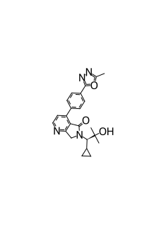 Cc1nnc(-c2ccc(-c3ccnc4c3C(=O)N([C@H](C3CC3)C(C)(C)O)C4)cc2)o1